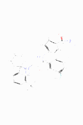 CC(C)(C)c1cccc(C2(NC[C@@H](O)C(Nc3ccc(C(N)=O)cc3)c3cc(F)cc(F)c3)CCCCC2)c1